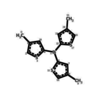 Cc1cs[c]([Bi]([c]2cc(C)cs2)[c]2cc(C)cs2)c1